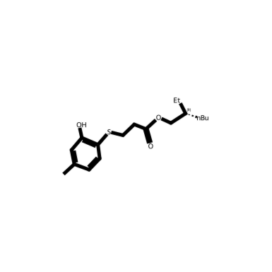 CCCC[C@@H](CC)COC(=O)CCSc1ccc(C)cc1O